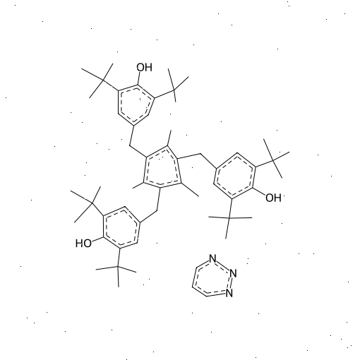 Cc1c(Cc2cc(C(C)(C)C)c(O)c(C(C)(C)C)c2)c(C)c(Cc2cc(C(C)(C)C)c(O)c(C(C)(C)C)c2)c(C)c1Cc1cc(C(C)(C)C)c(O)c(C(C)(C)C)c1.c1cnnnc1